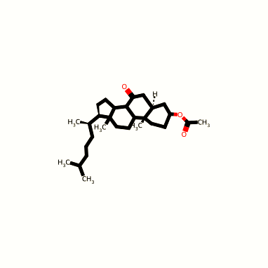 CC(=O)OC1CC[C@]2(C)C3CCC4(C)C(CC[C@@H]4[C@H](C)CCCC(C)C)C3C(=O)C[C@H]2C1